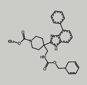 CC(C)(C)OC(=O)N1CCC(CNC(=O)OCC2C=CC=CC2)(c2nc3c(-c4ccccc4)cccc3[nH]2)CC1